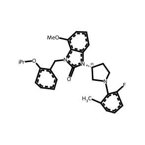 COc1cccc2c1n(Cc1ccccc1OC(C)C)c(=O)n2[C@@H]1CCN(c2c(C)cccc2F)C1